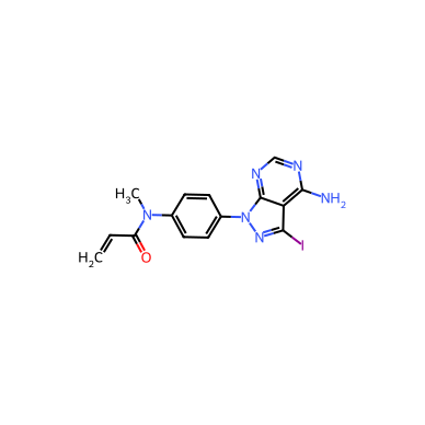 C=CC(=O)N(C)c1ccc(-n2nc(I)c3c(N)ncnc32)cc1